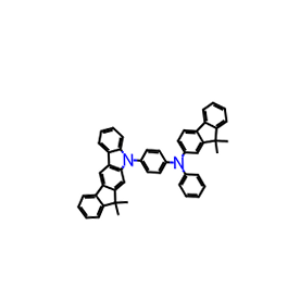 CC1(C)c2ccccc2-c2ccc(N(c3ccccc3)c3ccc(-n4c5ccccc5c5cc6c(cc54)C(C)(C)c4ccccc4-6)cc3)cc21